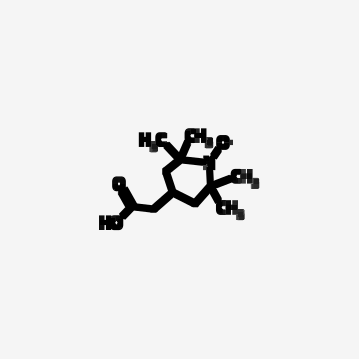 CC1(C)CC(CC(=O)O)CC(C)(C)N1[O]